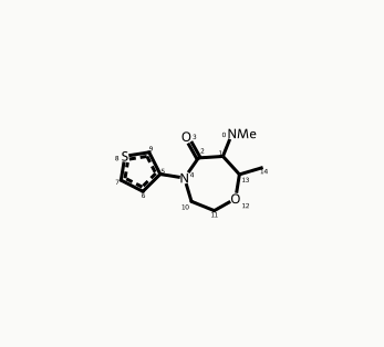 CNC1C(=O)N(c2ccsc2)CCOC1C